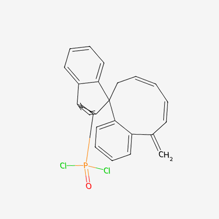 C=C1/C=C\C=C/CC2(c3ccccc31)c1ccccc1-c1ccc(P(=O)(Cl)Cl)cc12